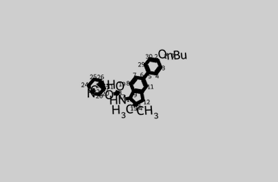 CCCCOc1ccc(-c2ccc3c(c2)CC(C)(C)C3NC(=O)O[C@H]2CN3CCC2CC3)cc1